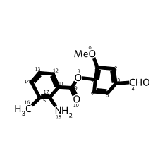 COc1cc(C=O)ccc1OC(=O)c1cccc(C)c1N